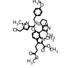 COC(=O)CCc1c(C(=O)OC)n(C)c2c(-c3c(C)nn4c3[C@H](N(Cc3ccc(OC)cc3)Cc3cc(CCl)n(C)n3)CC4)c(Cl)ccc12